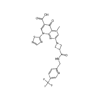 Cc1cc(N2CC(C(=O)NCc3ccc(C(F)(F)F)cn3)C2)nc2c1c(=O)c(C(=O)O)cn2-c1ncns1